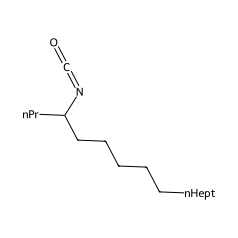 CCCCCCCCCCCCC(CCC)N=C=O